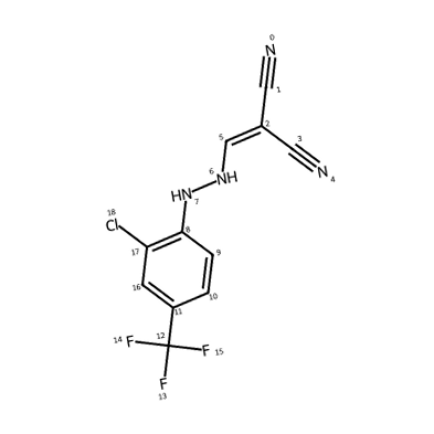 N#CC(C#N)=CNNc1ccc(C(F)(F)F)cc1Cl